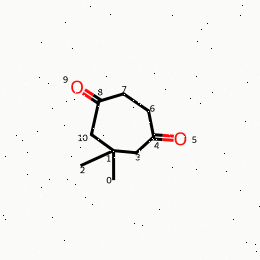 CC1(C)CC(=O)CCC(=O)C1